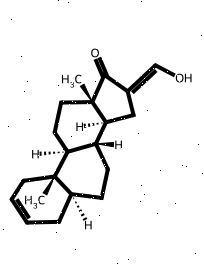 C[C@]12CC=CC[C@@H]1CC[C@@H]1[C@@H]2CC[C@]2(C)C(=O)C(=CO)C[C@@H]12